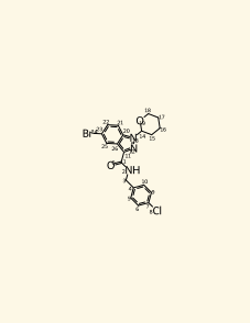 O=C(NCc1ccc(Cl)cc1)c1nn(C2CCCCO2)c2ccc(Br)cc12